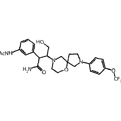 CC(=O)Nc1cccc(C(C(N)=O)C(CO)N2CCOC3(CCN(c4ccc(OC(F)(F)F)cc4)C3)C2)c1